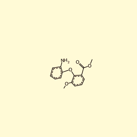 COC(=O)c1cccc(OC)c1Oc1ccccc1N